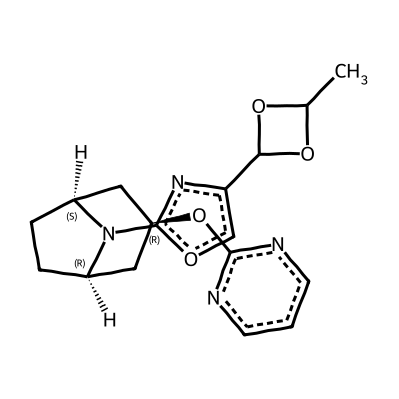 CC1OC(c2coc(N3[C@@H]4CC[C@H]3C[C@@H](Oc3ncccn3)C4)n2)O1